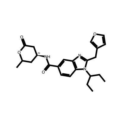 CCC(CC)n1c(Cc2ccoc2)nc2cc(C(=O)N[C@@H]3CC(=O)OC(C)C3)ccc21